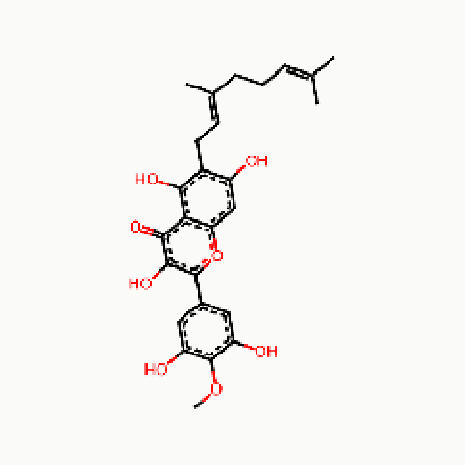 COc1c(O)cc(-c2oc3cc(O)c(C/C=C(\C)CCC=C(C)C)c(O)c3c(=O)c2O)cc1O